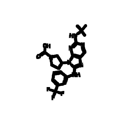 CC(C)(C)Nc1ncc2nc(Nc3cccc(C(F)(F)F)c3)n(C3CCN(C(=O)O)C3)c2n1